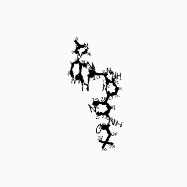 Cc1cn(-c2ccnc3[nH]c(-c4n[nH]c5ccc(-c6cncc(NC(=O)CC(C)(C)C)c6)nc45)nc23)cn1